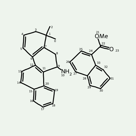 CC1(C)CC=CC2=C1CC(N)c1c2ccc2ccccc12.COC(=O)c1cccc2ccccc12